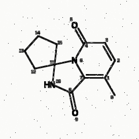 Cc1ccc(=O)n2c1C(=O)NC21CCCC1